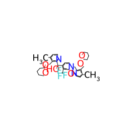 Cc1ccnc(Cn2ccc(C(O)c3nccc(C)c3COC3CCCCO3)c(C(F)(F)F)c2=O)c1COC1CCCCO1